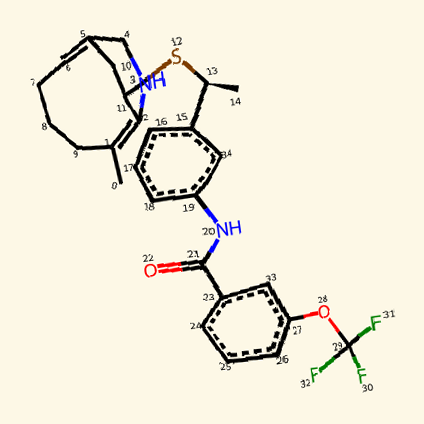 C/C1=C2/NC/C(=C\CCC1)CC2S[C@@H](C)c1cccc(NC(=O)c2cccc(OC(F)(F)F)c2)c1